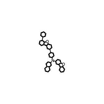 c1ccc(-c2cccc3c2oc2ccc(-c4ccc(N(c5ccc6ccccc6c5)c5ccc6oc7ccccc7c6c5)cc4)cc23)cc1